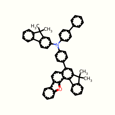 CC1(C)c2ccccc2-c2ccc(N(c3ccc(-c4ccccc4)cc3)c3ccc(-c4cc5c(c6c4ccc4c7ccccc7oc46)-c4ccccc4C5(C)C)cc3)cc21